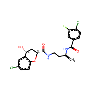 C=C(CCNC(=O)[C@H]1C[C@@H](O)c2cc(Cl)ccc2O1)NC(=O)c1ccc(Cl)c(F)c1